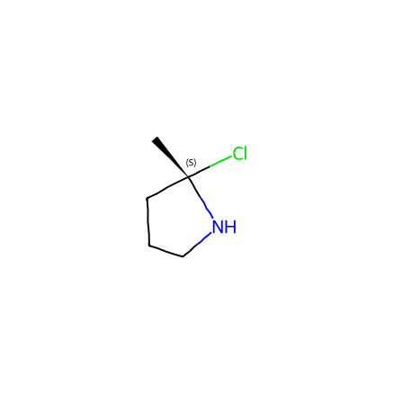 C[C@]1(Cl)CCCN1